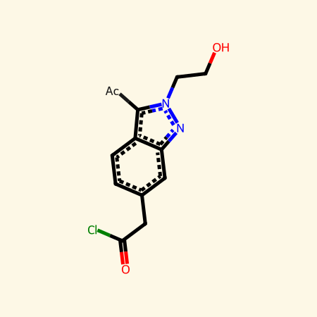 CC(=O)c1c2ccc(CC(=O)Cl)cc2nn1CCO